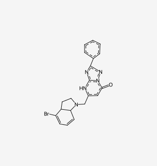 O=c1cc(CN2CCC3C(Br)=CC=CC32)[nH]c2nc(-c3ccccc3)nn12